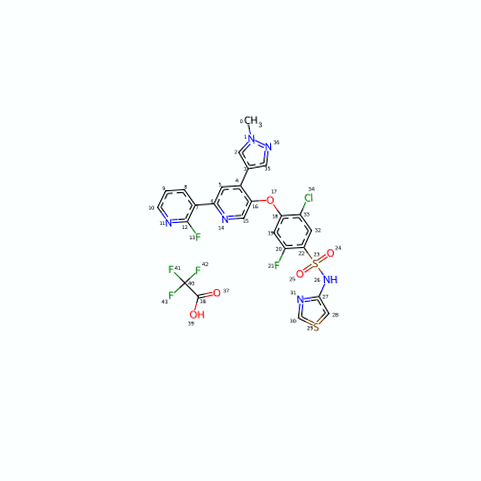 Cn1cc(-c2cc(-c3cccnc3F)ncc2Oc2cc(F)c(S(=O)(=O)Nc3cscn3)cc2Cl)cn1.O=C(O)C(F)(F)F